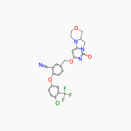 N#Cc1cc(COc2cc3n(c(=O)n2)CC2COCCN32)ccc1Oc1ccc(Cl)c(C(F)(F)F)c1